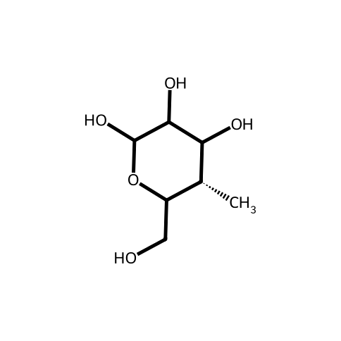 C[C@@H]1C(CO)OC(O)C(O)C1O